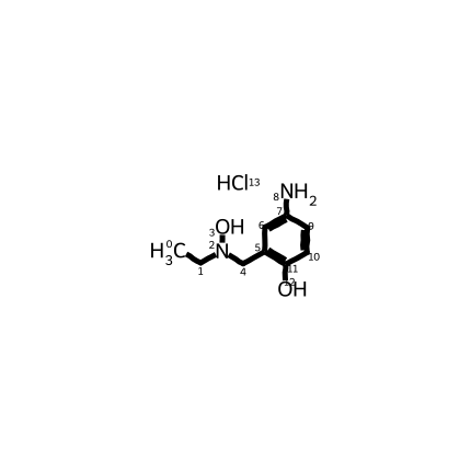 CCN(O)Cc1cc(N)ccc1O.Cl